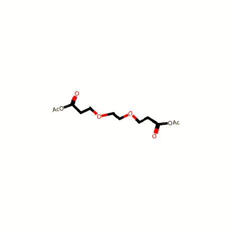 CC(=O)OC(=O)CCOCCOCCC(=O)OC(C)=O